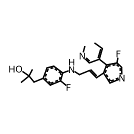 C/C=C(\C=N/C)c1c(F)cncc1/C=C/CNc1ccc(CC(C)(C)O)cc1F